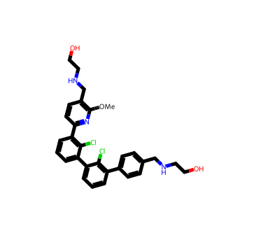 COc1nc(-c2cccc(-c3cccc(-c4ccc(CNCCO)cc4)c3Cl)c2Cl)ccc1CNCCO